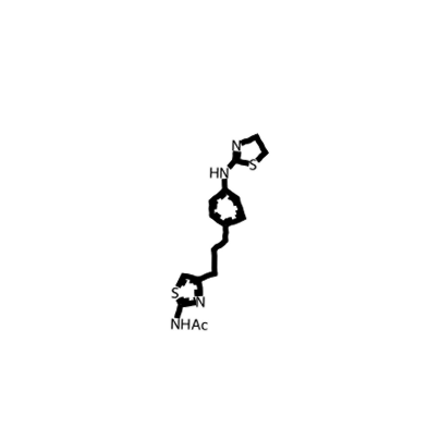 CC(=O)Nc1nc(CCCc2ccc(NC3=NCCS3)cc2)cs1